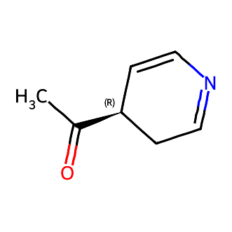 CC(=O)[C@H]1C=CN=CC1